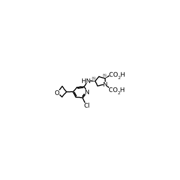 O=C(O)[C@@H]1C[C@H](Nc2cc(C3COC3)cc(Cl)n2)CN1C(=O)O